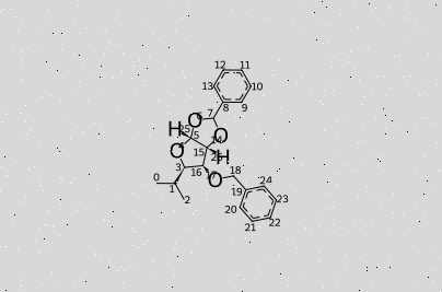 CC(C)[C@H]1O[C@@H]2OC(c3ccccc3)O[C@@H]2[C@H]1OCc1ccccc1